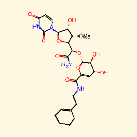 CO[C@H]1[C@@H](O)[C@H](n2ccc(=O)[nH]c2=O)O[C@@H]1[C@@H](O[C@H]1OC(C(=O)NCCC2=CCCCC2)=C[C@H](O)[C@@H]1O)C(N)=O